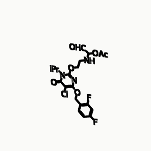 CC(=O)OC(C=O)NCCOc1nc(OCc2ccc(F)cc2F)c(Cl)c(=O)n1C(C)C